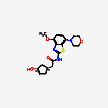 COc1ccc(N2CCOCC2)c2sc(NC(=O)C[C@@H]3CC[C@H](O)C3)nc12